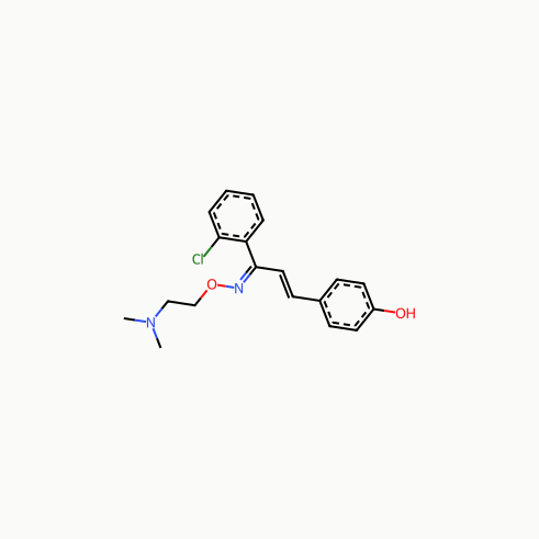 CN(C)CCON=C(C=Cc1ccc(O)cc1)c1ccccc1Cl